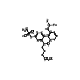 CCOC(=O)CCCC1Oc2cccc(OC(F)F)c2-c2ccc(CS(N)(=O)=O)cc21